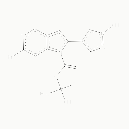 Cn1cc(-c2cc3cnc(Br)cc3n2C(=O)OC(C)(C)C)cn1